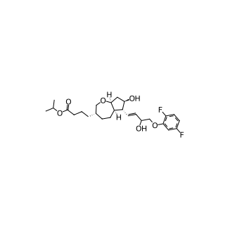 CC(C)OC(=O)CCC[C@H]1CC[C@@H]2[C@@H](/C=C/C(O)COc3cc(F)ccc3F)[C@H](O)C[C@@H]2OC1